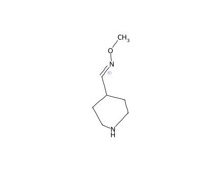 CO/N=C/C1CCNCC1